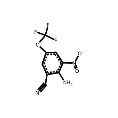 N#Cc1cc(OC(F)(F)F)cc([N+](=O)[O-])c1N